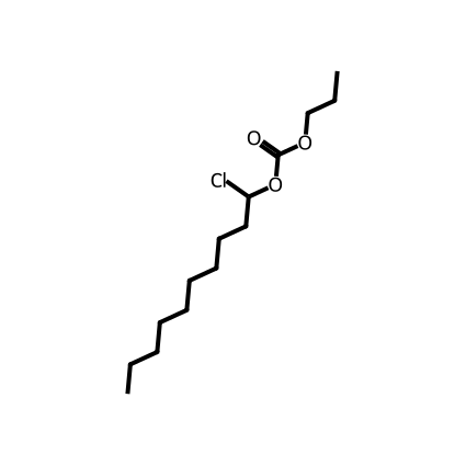 CCCCCCCCCC(Cl)OC(=O)OCCC